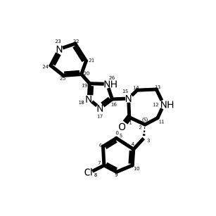 O=C1[C@@H](Cc2ccc(Cl)cc2)CNCCN1c1nnc(-c2ccncc2)[nH]1